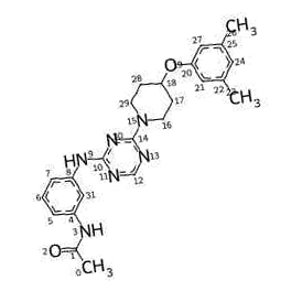 CC(=O)Nc1cccc(Nc2ncnc(N3CCC(Oc4cc(C)cc(C)c4)CC3)n2)c1